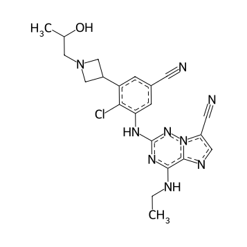 CCNc1nc(Nc2cc(C#N)cc(C3CN(CC(C)O)C3)c2Cl)nn2c(C#N)cnc12